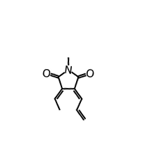 C=C/C=C1/C(=O)N(C)C(=O)/C1=C/C